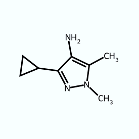 Cc1c(N)c(C2CC2)nn1C